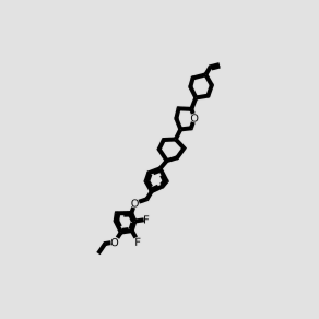 C=CC1CCC(C2CCC(C3CCC(c4ccc(COc5ccc(OCC)c(F)c5F)cc4)CC3)CO2)CC1